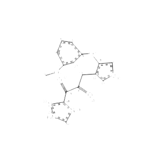 COc1cccc(Oc2cocc2CC(=O)C(=O)c2nc[nH]n2)c1